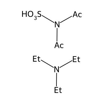 CC(=O)N(C(C)=O)S(=O)(=O)O.CCN(CC)CC